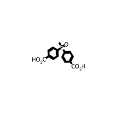 CP(=O)(c1ccc(C(=O)O)cc1)c1ccc(C(=O)O)cc1